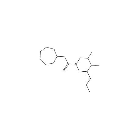 CCCC1CN(C(=O)CC2CCCCCC2)CC(C)C1C